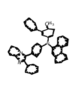 CC1CC=C(N(c2ccc(-c3c(-c4ccccc4)nc4ccccn34)cc2)c2cc3ccccc3c3ccccc23)C=C1c1ccccc1